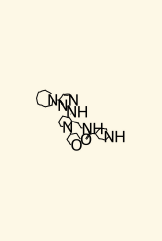 O=C(NCC[C@@H]1[C@@H](Nc2nccc(N3CCCCCCC3)n2)CCCN1C1CCOCC1)C1CCNCC1